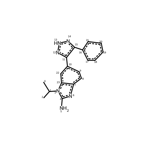 CC(C)n1c(N)nc2ccc(-c3n[nH]nc3-c3ccccc3)cc21